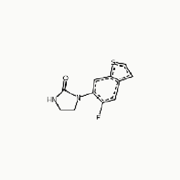 O=C1NCCN1c1cc2sccc2cc1F